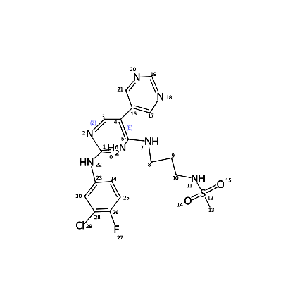 C=C(/N=C\C(=C(/N)NCCCNS(C)(=O)=O)c1cncnc1)Nc1ccc(F)c(Cl)c1